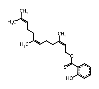 CC(C)=CCCC(C)=CCCC(C)=CCOC(=S)c1ccccc1O